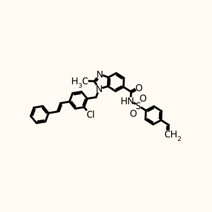 C=Cc1ccc(S(=O)(=O)NC(=O)c2ccc3nc(C)n(Cc4ccc(/C=C/c5ccccc5)cc4Cl)c3c2)cc1